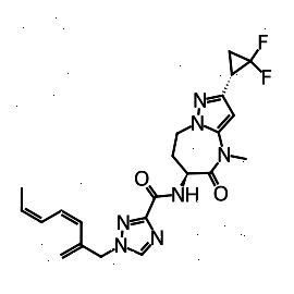 C=C(/C=C\C=C/C)Cn1cnc(C(=O)N[C@H]2CCn3nc([C@@H]4CC4(F)F)cc3N(C)C2=O)n1